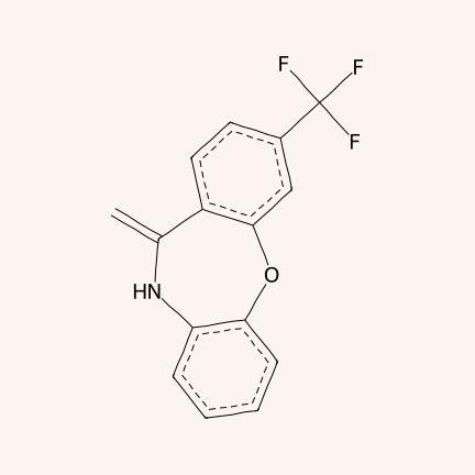 C=C1Nc2ccccc2Oc2cc(C(F)(F)F)ccc21